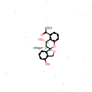 CCCCCCCCC(=O)c1cccc2c1[C@@H](O)[C@@H](CCCCCCC)[C@@]1(OCc3c(O)cccc31)O2